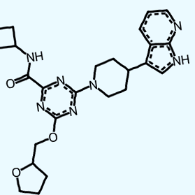 O=C(NC1COC1)c1nc(OCC2CCCO2)nc(N2CCC(c3c[nH]c4ncccc34)CC2)n1